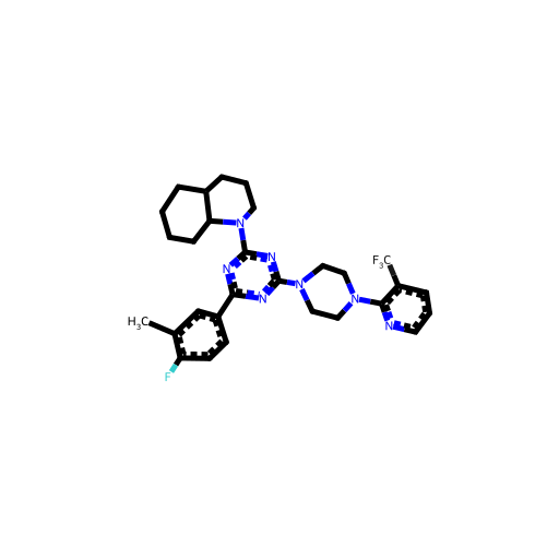 Cc1cc(-c2nc(N3CCN(c4ncccc4C(F)(F)F)CC3)nc(N3CCCC4CCCCC43)n2)ccc1F